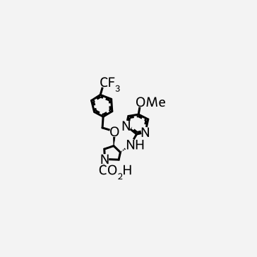 COc1cnc(N[C@@H]2CN(C(=O)O)C[C@H]2OCc2ccc(C(F)(F)F)cc2)nc1